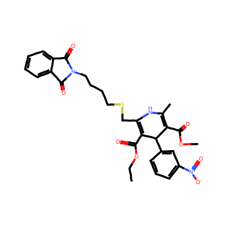 CCOC(=O)C1=C(CSCCCCN2C(=O)c3ccccc3C2=O)NC(C)=C(C(=O)OC)C1c1cccc([N+](=O)[O-])c1